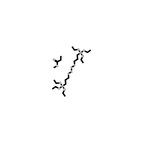 CCC(=O)OC.CCO[Si](CCCSSSSCCC[Si](OCC)(OCC)OCC)(OCC)OCC